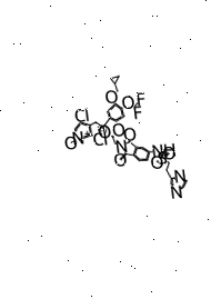 O=C(CN1C(=O)c2ccc(NS(=O)(=O)CCc3cnccn3)cc2C1=O)O[C@@H](Cc1c(Cl)c[n+]([O-])cc1Cl)c1ccc(OC(F)F)c(OCC2CC2)c1